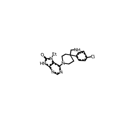 CCn1c(=O)[nH]c2ncnc(N3CCC(CN)(c4ccc(Cl)cc4)CC3)c21